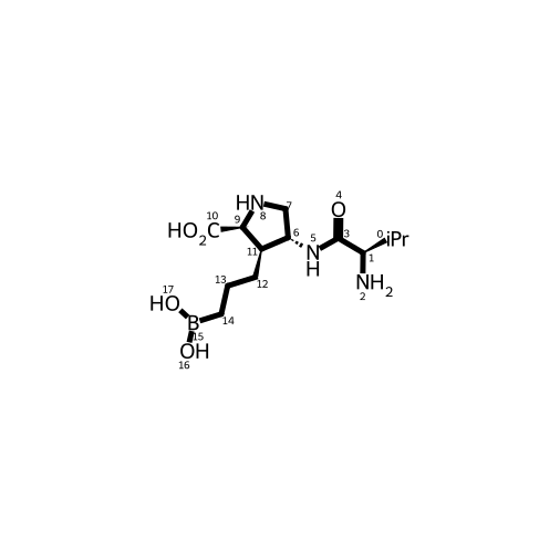 CC(C)[C@@H](N)C(=O)N[C@H]1CN[C@H](C(=O)O)[C@@H]1CCCB(O)O